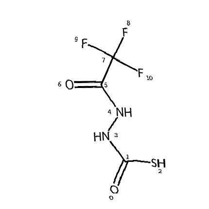 O=C(S)NNC(=O)C(F)(F)F